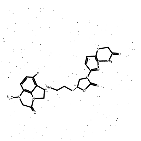 CN1CC(=O)N2C[C@@H](NCCC[C@@H]3CN(c4ccc5c(n4)NC(=O)CS5)C(=O)O3)c3c(F)ccc1c32